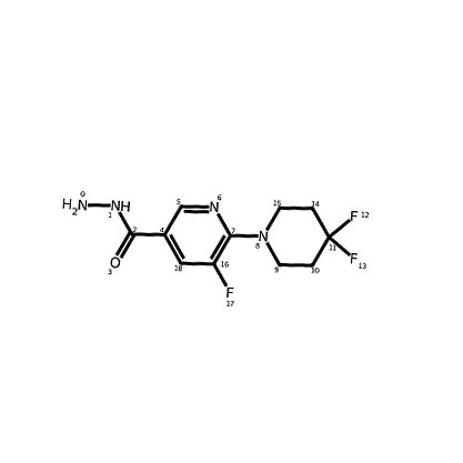 NNC(=O)c1cnc(N2CCC(F)(F)CC2)c(F)c1